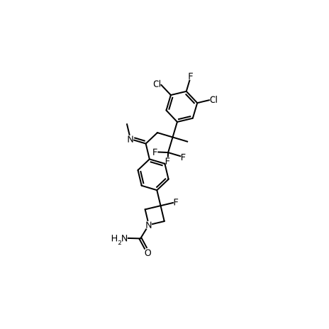 C/N=C(\CC(C)(c1cc(Cl)c(F)c(Cl)c1)C(F)(F)F)c1ccc(C2(F)CN(C(N)=O)C2)cc1